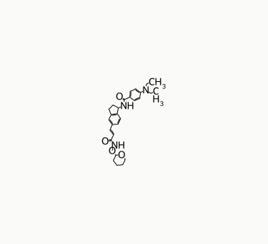 CCN(CC)c1ccc(C(=O)NC2CCc3cc(/C=C/C(=O)NOC4CCCCO4)ccc32)cc1